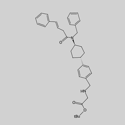 CC(C)(C)OC(=O)CNCc1ccc([C@H]2CC[C@H](N(Cc3ccccc3)C(=O)CC=Cc3ccccc3)CC2)cc1